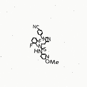 COc1ccc(NC(=S)N(CCc2cncn2Cc2ccc(C#N)cc2)Cc2c(F)cccc2F)cn1